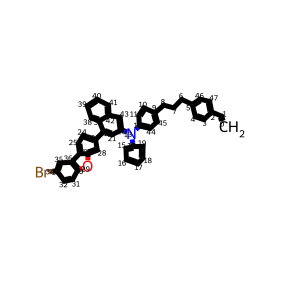 C=Cc1ccc(CCCc2ccc(N(c3ccccc3)c3cc(-c4ccc5c(c4)oc4ccc(Br)cc45)c4ccccc4c3)cc2)cc1